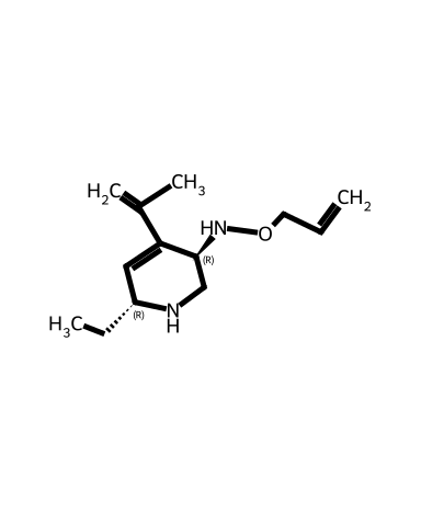 C=CCON[C@H]1CN[C@H](CC)C=C1C(=C)C